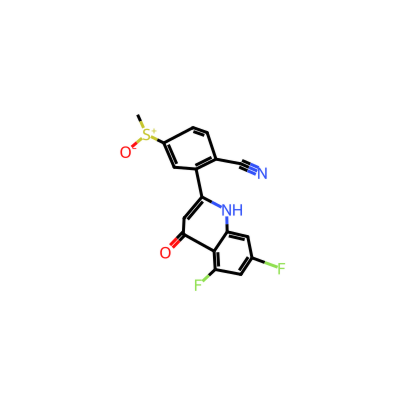 C[S+]([O-])c1ccc(C#N)c(-c2cc(=O)c3c(F)cc(F)cc3[nH]2)c1